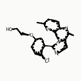 Cc1ccc2nc(C)c3cnc(-c4cc(OCCO)ccc4Cl)n3c2n1